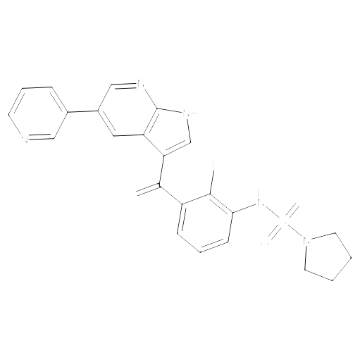 O=C(c1cccc(NS(=O)(=O)N2CCCC2)c1F)c1c[nH]c2ncc(-c3cccnc3)cc12